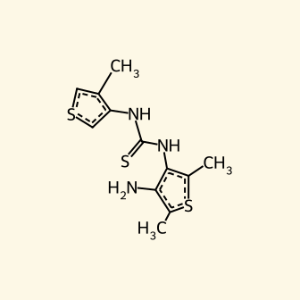 Cc1cscc1NC(=S)Nc1c(C)sc(C)c1N